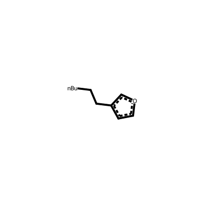 CCCCCCc1ccoc1